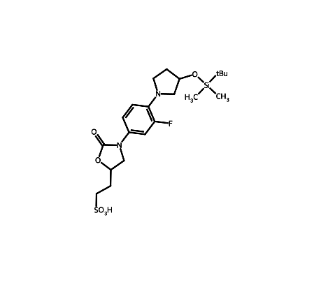 CC(C)(C)[Si](C)(C)OC1CCN(c2ccc(N3CC(CCS(=O)(=O)O)OC3=O)cc2F)C1